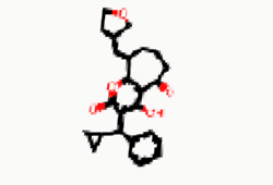 O=C1CCCC(CC2CCOC2)c2oc(=O)c(C(c3ccccc3)C3CC3)c(O)c21